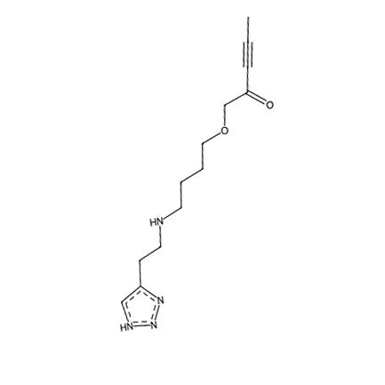 CC#CC(=O)COCCCCNCCc1c[nH]nn1